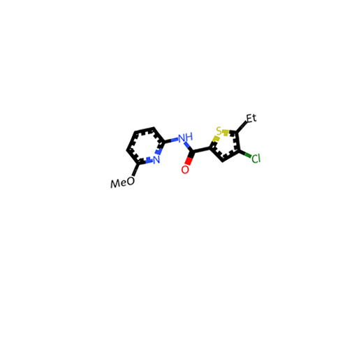 CCc1sc(C(=O)Nc2cccc(OC)n2)cc1Cl